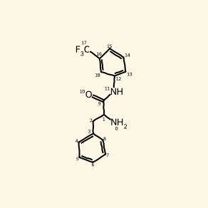 NC(Cc1ccccc1)C(=O)Nc1cccc(C(F)(F)F)c1